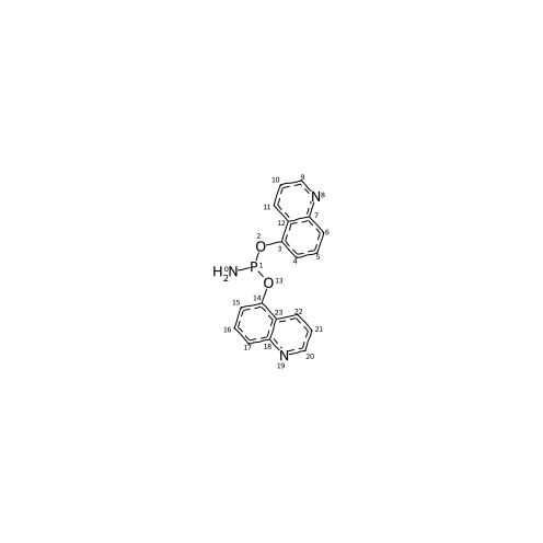 NP(Oc1cccc2ncccc12)Oc1cccc2ncccc12